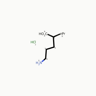 CCCC(CCCN)C(=O)O.Cl